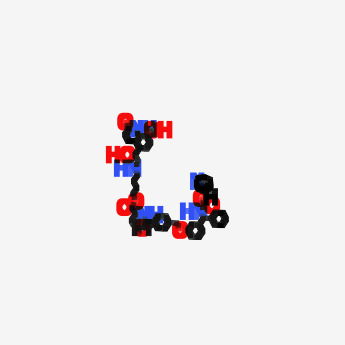 CC(C)CC(NC(=O)c1ccc(COc2cccc(C(NC(=O)O[C@H]3CN4CCC3CC4)c3ccccc3)c2)cc1)C(=O)OCCCCNCC(O)c1ccc(O)c2[nH]c(=O)ccc12